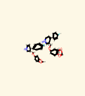 Fc1ccc([C@@H]2CCNC[C@H]2COc2ccc3c(c2)OCO3)cc1.Fc1ccc([C@@H]2CCNC[C@H]2COc2ccc3c(c2)OCO3)cc1